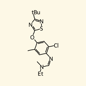 CCN(C)/C=N\c1cc(C)c(Oc2nc(C(C)(C)C)ns2)cc1Cl